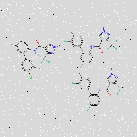 Cc1ccc(-c2cc(F)ccc2NC(=O)c2cn(C)nc2C(F)(F)F)cc1F.Cc1ccc(-c2cc(F)ccc2NC(=O)c2cn(C)nc2C(F)F)cc1F.Cn1cc(C(=O)Nc2ccc(F)cc2-c2ccc(Cl)c(F)c2)c(C(F)(F)F)n1